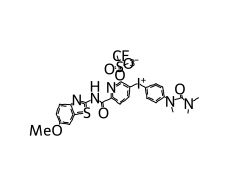 COc1ccc2nc(NC(=O)c3ccc([I+]c4ccc(N(C)C(=O)N(C)C)cc4)cn3)sc2c1.O=S(=O)([O-])C(F)(F)F